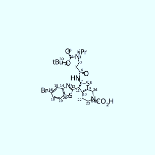 CC(C)N(CCC(=O)Nc1sc2c(c1-c1nc3cc(Br)ccc3s1)CCN(C(=O)O)C2)C(=O)OC(C)(C)C